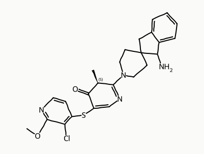 COc1nccc(SC2=CN=C(N3CCC4(CC3)Cc3ccccc3C4N)[C@H](C)C2=O)c1Cl